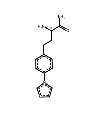 NC(=O)[C@H](N)CCc1ccc(-n2ccnc2)cc1